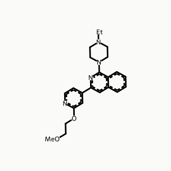 CCN1CCN(c2nc(-c3ccnc(OCCOC)c3)cc3ccccc23)CC1